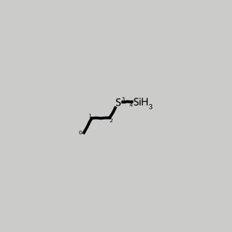 CCCS[SiH3]